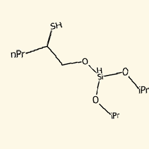 CCCC(S)CO[SiH](OC(C)C)OC(C)C